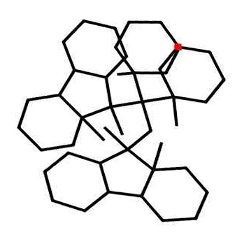 CC1(C(CC2(C)C3CCCCC3C3CCCCC32C)(C2(C)CCCCC2)C2(C)C3CCCCC3C3CCCCC32C)CCCCC1